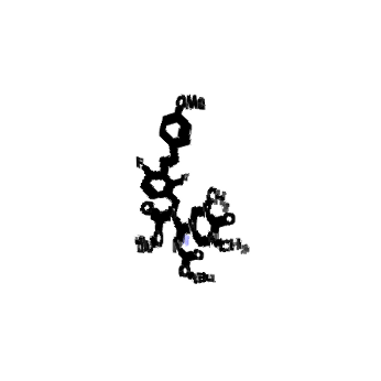 COc1ccc(CCc2c(F)ccc(CN(C(=O)OC(C)(C)C)/C(=N/C(=O)OC(C)(C)C)N3CN(C)C(=O)N(C)C3)c2F)cc1